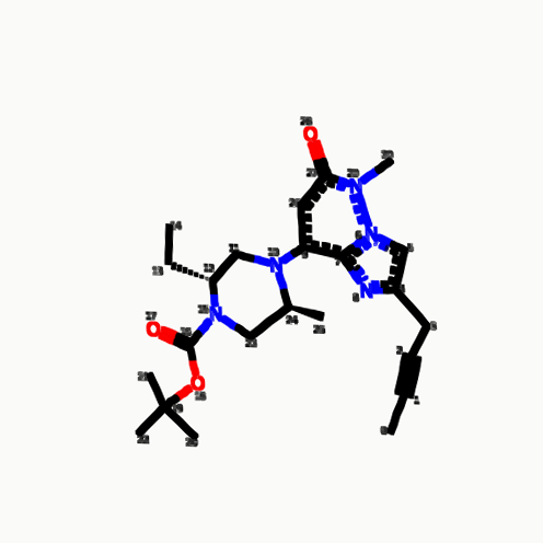 CC#CCc1cn2c(n1)c(N1C[C@@H](CC)N(C(=O)OC(C)(C)C)C[C@@H]1C)cc(=O)n2C